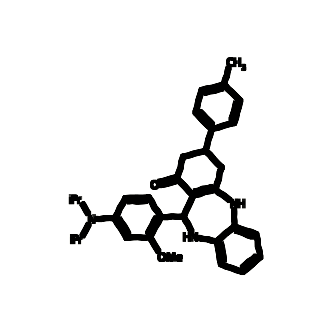 COc1cc(N(C(C)C)C(C)C)ccc1C1Nc2ccccc2NC2=C1C(=O)CC(c1ccc(C)cc1)C2